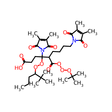 CCCC(OOC(CCC(=O)O)(C(CCCCN1C(=O)C(C)=C(C)C1=O)C(=O)OOOC(C)(C)C)N1C(=O)C(C)=C(C)C1=O)C(C)(C)C